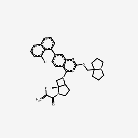 C=C(F)C(=O)N1CCC2[C@H]1CN2c1nc(OCC23CCCN2CCC3)nc2cc(-c3cccc4cccc(Cl)c34)ccc12